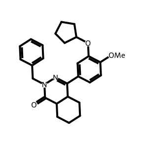 COc1ccc(C2=NN(Cc3ccccc3)C(=O)C3CCCCC23)cc1OC1CCCC1